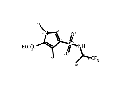 CCOC(=O)c1c(C)c(S(=O)(=O)NC(C)C(F)(F)F)cn1C